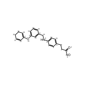 O=NC(=O)CCc1ccc(NCc2cccc(OC3=CCCC=C3)c2)cc1